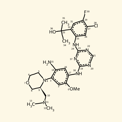 COc1cc(N2CCOC[C@@H]2CN(C)C)c(N)cc1Nc1ncnc(Nc2cc(Cl)c(F)cc2C(C)(C)O)n1